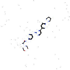 CC(C(=O)Nc1ccc(Nc2nccc(-c3cnc(N4CC[C@H](F)C4)c(C#N)c3)n2)cn1)N1CCOCC1